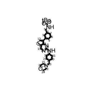 CC(C)(C)OC(=O)NCc1cccc(-c2csc3cnc(Nc4ccc(CN5CCOCC5)cc4)nc23)c1